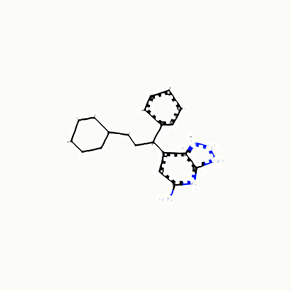 Nc1cc(C(CCC2CCCCC2)c2ccccc2)c2nn[nH]c2n1